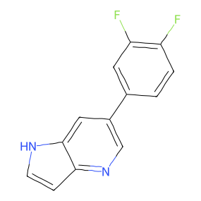 Fc1ccc(-c2cnc3cc[nH]c3c2)cc1F